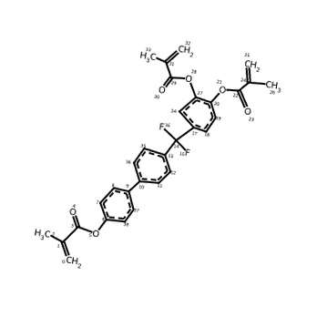 C=C(C)C(=O)Oc1ccc(-c2ccc(C(F)(F)c3ccc(OC(=O)C(=C)C)c(OC(=O)C(=C)C)c3)cc2)cc1